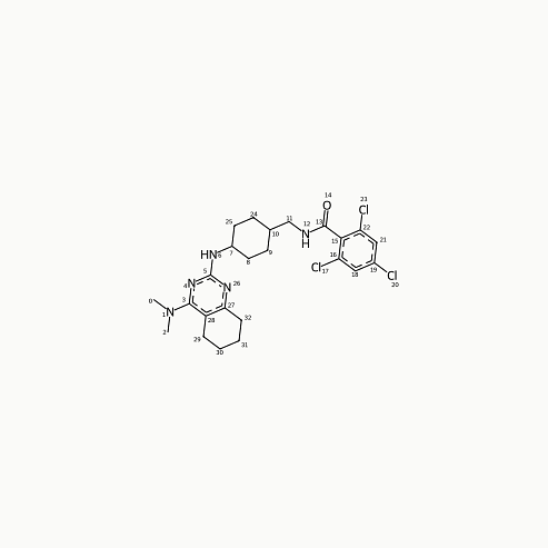 CN(C)c1nc(NC2CCC(CNC(=O)c3c(Cl)cc(Cl)cc3Cl)CC2)nc2c1CCCC2